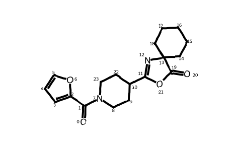 O=C(c1ccco1)N1CCC(C2=NC3(CCCCC3)C(=O)O2)CC1